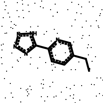 CCc1ccc(-c2nnn[nH]2)nc1